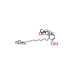 CCCCCCCCCCCCCCCCCCc1ccccc1O.O=C([O-])[O-].[Ca+2]